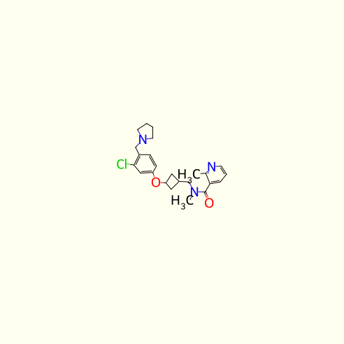 Cc1ncccc1C(=O)N(C)CC1CC(Oc2ccc(CN3CCCC3)c(Cl)c2)C1